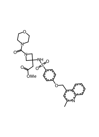 COC(=O)CC1(NS(=O)(=O)c2ccc(OCc3cc(C)nc4ccccc34)cc2)CN(C(=O)N2CCOCC2)C1